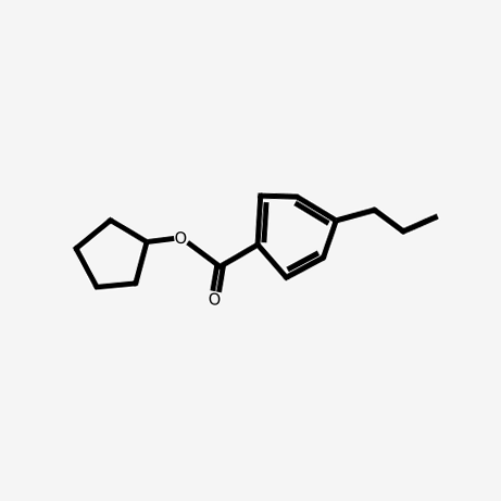 CCCc1ccc(C(=O)OC2CCCC2)cc1